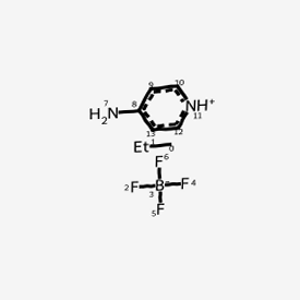 CCC.F[B-](F)(F)F.Nc1cc[nH+]cc1